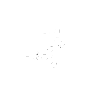 CC(C)c1cc(-c2cccc(/C=C(/c3ccccc3)c3ccc(S(C)(=O)=O)cc3)c2)c2ncccc2c1